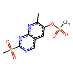 Cc1nc2nc(S(C)(=O)=O)ncc2cc1OS(=O)(=O)C(F)(F)F